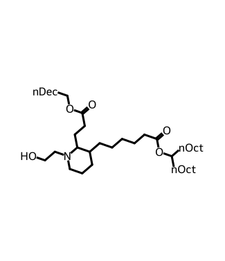 CCCCCCCCCCCOC(=O)CCC1C(CCCCCC(=O)OC(CCCCCCCC)CCCCCCCC)CCCN1CCO